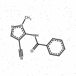 Cn1ncc(C#N)c1NC(=O)c1ccccc1